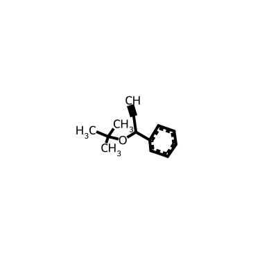 C#CC(OC(C)(C)C)c1ccccc1